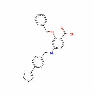 O=C(O)c1ccc(NCc2ccc(C3=CCCC3)cc2)cc1OCc1ccccc1